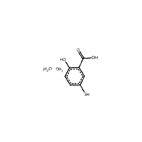 O.O.O=C(O)c1cc(S)ccc1O